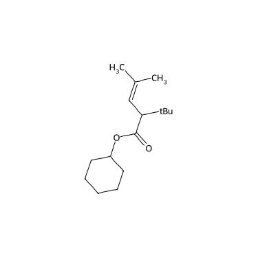 CC(C)=CC(C(=O)OC1CCCCC1)C(C)(C)C